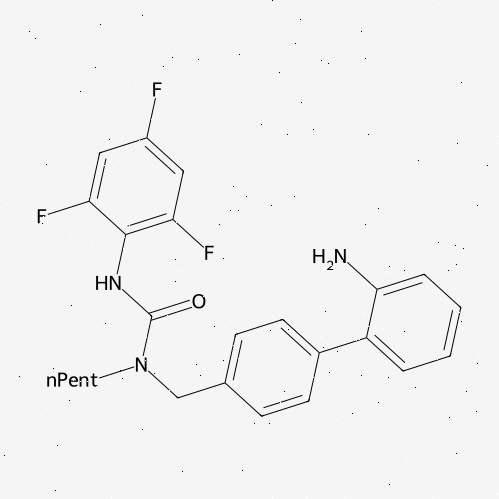 CCCCCN(Cc1ccc(-c2ccccc2N)cc1)C(=O)Nc1c(F)cc(F)cc1F